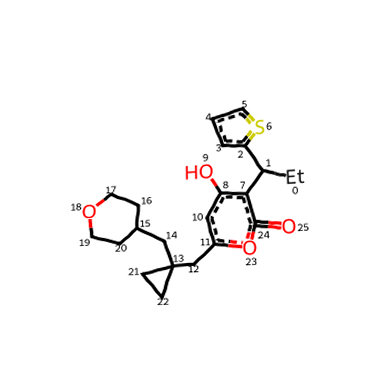 CCC(c1cccs1)c1c(O)cc(CC2(CC3CCOCC3)CC2)oc1=O